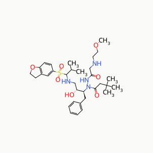 COCCNCC(=O)NN(C(=O)CC(C)(C)C)[C@@H](Cc1ccccc1)[C@H](O)CNC(C(C)C)S(=O)(=O)c1ccc2c(c1)CCO2